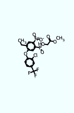 CCc1cc([N+](=O)[O-])c([PH](=O)OCC(=O)OC)cc1Oc1ccc(C(F)(F)F)cc1Cl